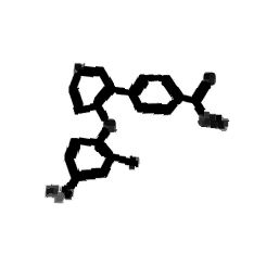 COC(=O)c1ccc(-c2cnccc2Oc2ccc(N)cc2F)cc1